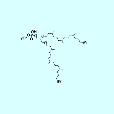 CCCOP(=O)(O)OC[C@@H](COCCC(C)CCCC(C)CCCC(C)CCCC(C)C)OCCC(C)CCCC(C)CCCC(C)CCCC(C)C